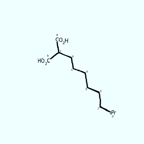 CC(C)CCCCCCC(C(=O)O)C(=O)O